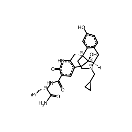 CC(C)C[C@H](NC(=O)c1cc2c([nH]c1=O)C[C@]13CCN(CC4CC4)[C@H](Cc4ccc(O)cc41)[C@]3(O)C2)C(N)=O